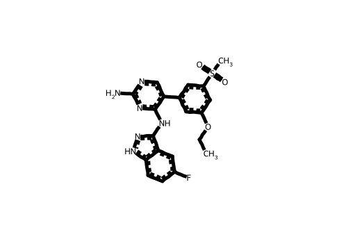 CCOc1cc(-c2cnc(N)nc2Nc2n[nH]c3ccc(F)cc23)cc(S(C)(=O)=O)c1